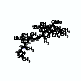 COC(=O)C[C@H](O[Si](C)(C)C(C)(C)C)C(C)(C)C(=O)[C@H](C)[C@@H](O[Si](C)(C)C(C)(C)C)[C@@H](C)C#CC/C(C)=C\C[C@H](O[Si](C)(C)C(C)(C)C)/C(C)=C/c1csc(C)n1